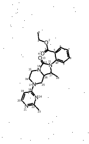 CCOC(=O)c1ccccc1N1C(=O)N2CCN(c3ccnc(C)n3)CC2C1C